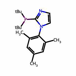 Cc1cc(C)c(-n2ccnc2P(C(C)(C)C)C(C)(C)C)c(C)c1